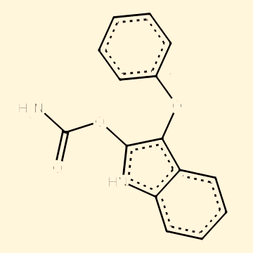 NC(=O)Oc1[nH]c2ccccc2c1Oc1ccccc1